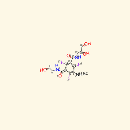 CC(=O)Nc1c(I)c(C(=O)NCCO)c(I)c(C(=O)NCC(O)CO)c1I